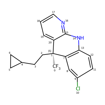 FC(F)(F)[C@@]1(CCC2CC2)c2cc(Cl)ccc2Nc2ncccc21